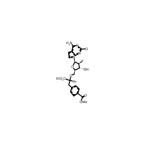 CCOC(=O)C(Cc1ccc(C(=O)OC)cc1)(OC[C@H]1O[C@@H](n2ccc3c(N)nc(Cl)nc32)[C@@H](F)[C@@H]1O)C(C)=O